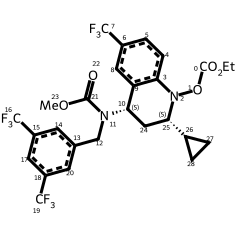 CCOC(=O)ON1c2ccc(C(F)(F)F)cc2[C@@H](N(Cc2cc(C(F)(F)F)cc(C(F)(F)F)c2)C(=O)OC)C[C@H]1C1CC1